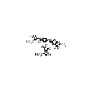 NC(CS)C(=O)O.Nc1nc2ncc(CNc3ccc(C(=O)NC(CCC(=O)O)C(=O)O)cc3)nc2c(=O)[nH]1.O=C1C=CC(=O)N1